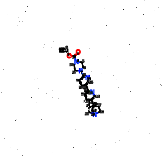 CC(C)(C)OC(=O)N1CCN(c2ccc(-c3ccc(C45CCN(CC4)C5)cn3)cn2)CC1